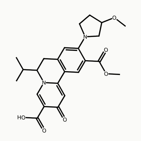 COC(=O)c1cc2c(cc1N1CCC(OC)C1)CC(C(C)C)n1cc(C(=O)O)c(=O)cc1-2